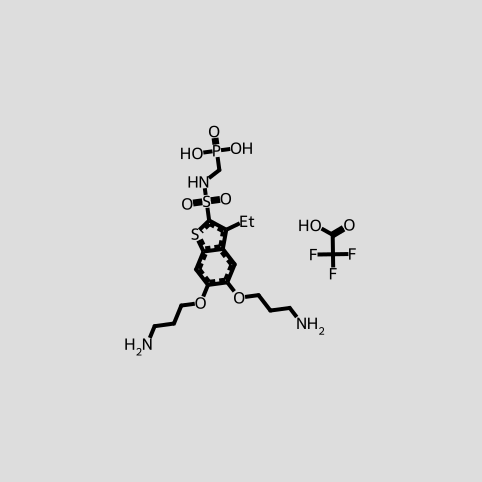 CCc1c(S(=O)(=O)NCP(=O)(O)O)sc2cc(OCCCN)c(OCCCN)cc12.O=C(O)C(F)(F)F